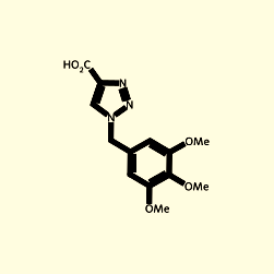 COc1cc(Cn2cc(C(=O)O)nn2)cc(OC)c1OC